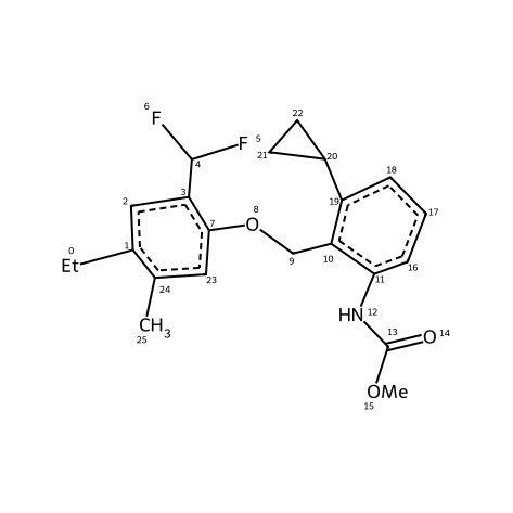 CCc1cc(C(F)F)c(OCc2c(NC(=O)OC)cccc2C2CC2)cc1C